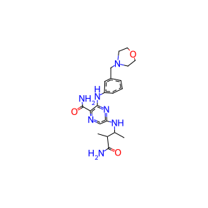 CC(Nc1cnc(C(N)=O)c(Nc2cccc(CN3CCOCC3)c2)n1)C(C)C(N)=O